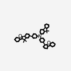 CC1(C)c2ccccc2-c2ccc(N(c3ccc(-c4ccc5c(c4)C(C)(C)c4c-5oc5ccccc45)cc3)c3ccc(-c4cccc5c4oc4ccccc45)cc3)cc21